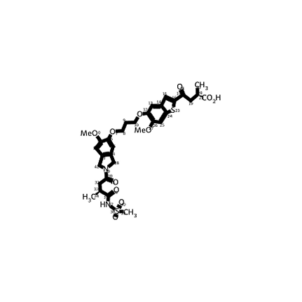 COc1cc2c(cc1OCCCOc1cc3cc(C(=O)C[C@H](C)C(=O)O)sc3cc1OC)CN(C(=O)C[C@H](C)C(=O)NS(C)(=O)=O)C2